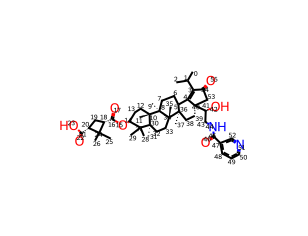 CC(C)C1=C2C3CC[C@]4(C)[C@@]5(C)CC[C@H](OC(=O)[C@H]6C[C@@H](C(=O)O)C6(C)C)C(C)(C)[C@]5(C)CC[C@@]4(C)[C@]3(C)CC[C@@]2([C@@H](O)CNC(=O)c2cccnc2)CC1=O